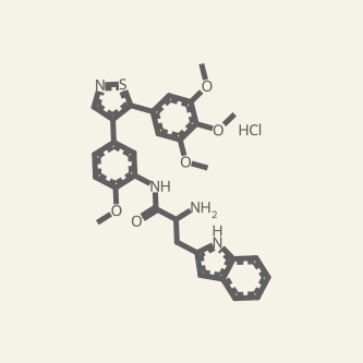 COc1ccc(-c2cnsc2-c2cc(OC)c(OC)c(OC)c2)cc1NC(=O)C(N)Cc1cc2ccccc2[nH]1.Cl